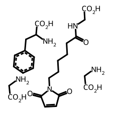 NC(Cc1ccccc1)C(=O)O.NCC(=O)O.NCC(=O)O.O=C(O)CNC(=O)CCCCCN1C(=O)C=CC1=O